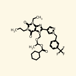 CCCn1c(=O)c2c(nc(-c3cnn(Cc4cccc(C(F)(F)F)c4)c3)n2COC(C)OC(=O)C2CCCCC2)n(CC)c1=O